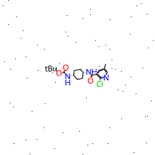 Cc1cnc(Cl)c(C(=O)N[C@H]2CC[C@@H](NC(=O)OC(C)(C)C)CC2)c1